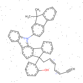 C#C/C=C\C=C/CC1(c2ccccc2O)c2ccccc2-c2c1ccc1c3ccccc3n(-c3ccc4c(c3)C(C)(C)c3ccccc3-4)c21